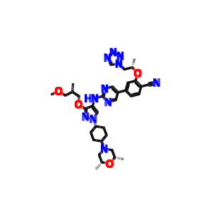 COCC(C)COc1nn([C@H]2CC[C@H](N3C[C@@H](C)O[C@@H](C)C3)CC2)cc1Nc1ncc(-c2ccc(C#N)c(O[C@@H](C)Cn3cnnn3)c2)cn1